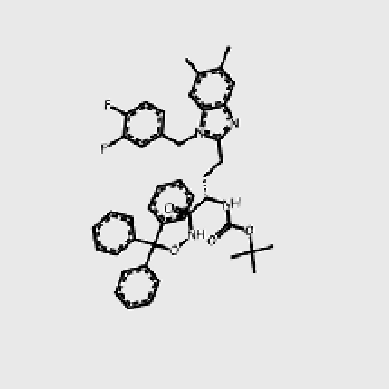 Cc1cc2nc(CC[C@H](NC(=O)OC(C)(C)C)C(=O)NOC(c3ccccc3)(c3ccccc3)c3ccccc3)n(Cc3ccc(F)c(F)c3)c2cc1C